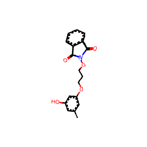 Cc1cc(O)cc(OCCCON2C(=O)c3ccccc3C2=O)c1